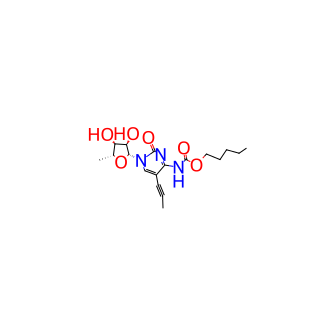 CC#Cc1cn([C@@H]2O[C@H](C)[C@@H](O)[C@H]2O)c(=O)nc1NC(=O)OCCCCC